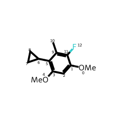 COc1cc(OC)c(C2CC2)c(C)c1F